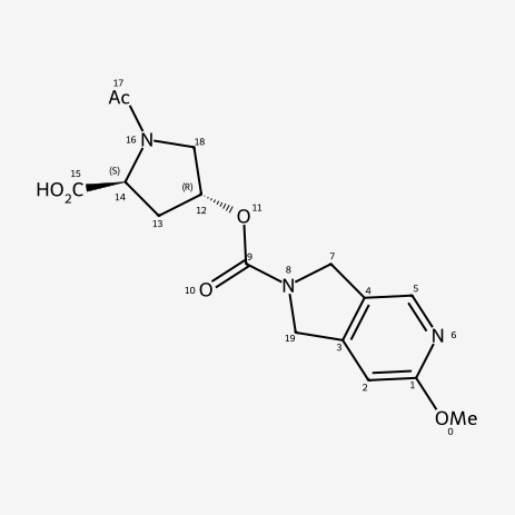 COc1cc2c(cn1)CN(C(=O)O[C@@H]1C[C@@H](C(=O)O)N(C(C)=O)C1)C2